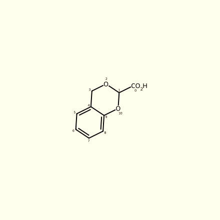 O=C(O)C1OCc2ccccc2O1